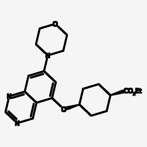 CCOC(=O)[C@H]1CC[C@@H](Oc2cc(N3CCOCC3)cc3ncncc23)CC1